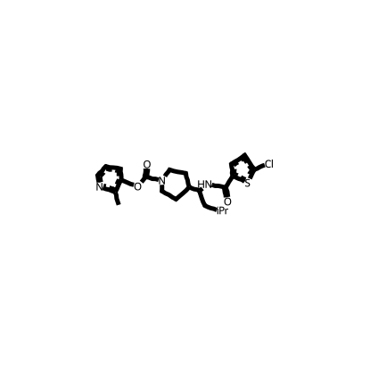 Cc1ncccc1OC(=O)N1CCC(C(CC(C)C)NC(=O)c2ccc(Cl)s2)CC1